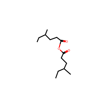 CCC(C)CCC(=O)OC(=O)CCC(C)CC